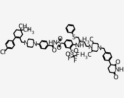 CC1CN(Cc2ccc(C3CCC(=O)NC3=O)cc2)CC(C)N1CC[C@H](CSc1ccccc1)Nc1ccc(S(=O)(=O)NC(=O)c2ccc(N3CCN(CC4=C(c5ccc(Cl)cc5)CCC(C)(C)C4)CC3)cc2)cc1S(=O)(=O)C(F)(F)F